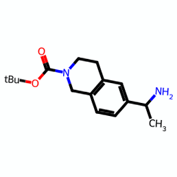 CC(N)c1ccc2c(c1)CCN(C(=O)OC(C)(C)C)C2